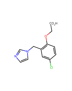 O=C(O)COc1ccc(Cl)cc1Cn1ccnc1